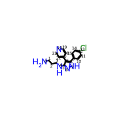 NCCCNc1n[nH]c(-c2ccc(Cl)cc2)c1-c1ccncc1